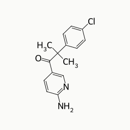 CC(C)(C(=O)c1ccc(N)nc1)c1ccc(Cl)cc1